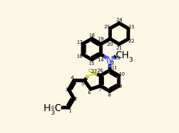 C/C=C\C=C/C1Cc2cccc(N(C)c3ccccc3C3CCCCC3)c2S1